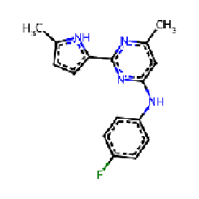 Cc1cc(Nc2ccc(F)cc2)nc(-c2ccc(C)[nH]2)n1